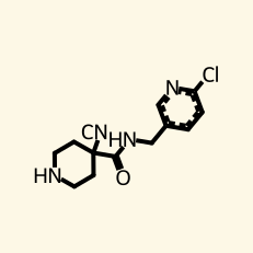 N#CC1(C(=O)NCc2ccc(Cl)nc2)CCNCC1